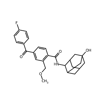 COCc1cc(C(=O)c2ccc(F)cc2)ccc1C(=O)NC1C2CC3CC1CC(O)(C3)C2